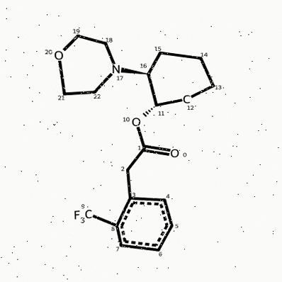 O=C(Cc1ccccc1C(F)(F)F)O[C@H]1CCCC[C@@H]1N1CCOCC1